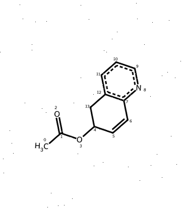 CC(=O)OC1C=Cc2ncccc2C1